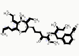 C\C=C/C=C1/OC[C@H](CCCC(=O)/C(=N/C)N/C(Cc2cccc(C#N)c2)=C(\C)CC)/C(=C\C)N(C)/C1=C\CC